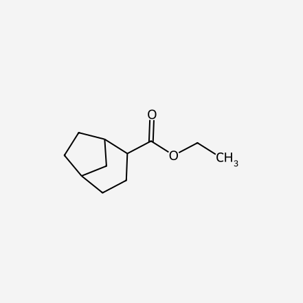 CCOC(=O)C1CCC2CCC1C2